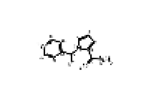 NC(=O)c1cccn1C(F)c1ccncc1